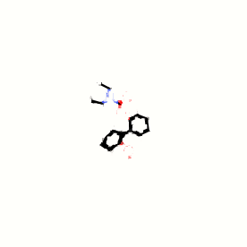 CCN(CC)C(=O)Oc1ccccc1-c1ccccc1OC